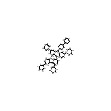 c1ccc(-c2ccc3c(c2)c2c(C4CCCCC4)ccc4c2n3-c2cc(-c3ccncn3)cc3c2B4c2ccc(C4CCCCC4)c4c5cc(-c6ccccc6)ccc5n-3c24)cc1